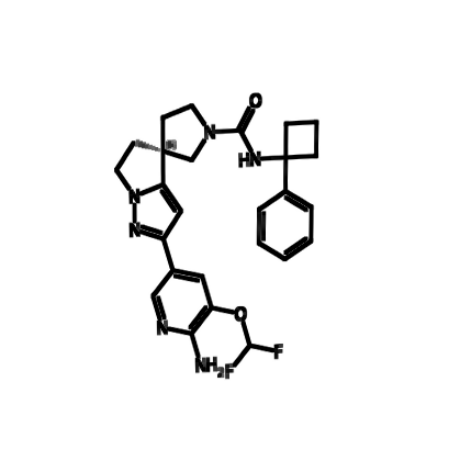 Nc1ncc(-c2cc3n(n2)CC[C@@]32CCN(C(=O)NC3(c4ccccc4)CCC3)C2)cc1OC(F)F